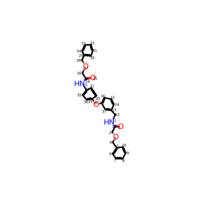 O=C(COCc1ccccc1)NCc1cccc(Oc2ccc(NC(=O)COCc3ccccc3)cc2)c1